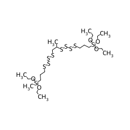 CCO[Si](C)(CCCSSSSCC(C)SSSSCCC[Si](OCC)(OCC)OCC)OCC